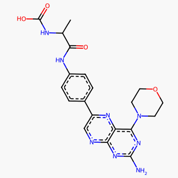 CC(NC(=O)O)C(=O)Nc1ccc(-c2cnc3nc(N)nc(N4CCOCC4)c3n2)cc1